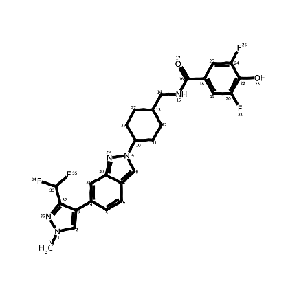 Cn1cc(-c2ccc3cn(C4CCC(CNC(=O)c5cc(F)c(O)c(F)c5)CC4)nc3c2)c(C(F)F)n1